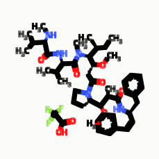 CC[C@H](C)[C@@H]([C@@H](CC(=O)N1CCC[C@H]1[C@H](OC)[C@@H](C)C(=O)N[C@H](/C=C\c1ccccc1)Cc1ccccc1)OC)N(C)C(=O)[C@@H](NC(=O)[C@@H](NC)C(C)C)C(C)C.O=C(O)C(F)(F)F